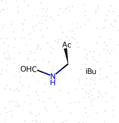 CC[C@H](C)[C@@H](NC=O)C(C)=O